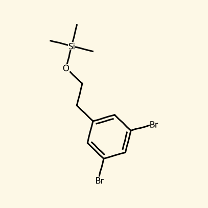 C[Si](C)(C)OCCc1cc(Br)cc(Br)c1